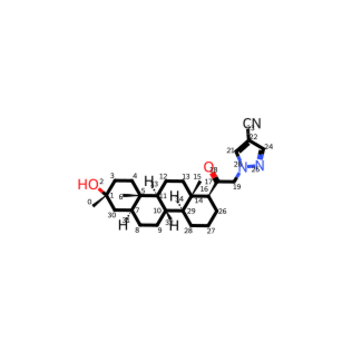 C[C@@]1(O)CC[C@@]2(C)[C@@H](CC[C@@H]3[C@@H]2CC[C@]2(C)[C@@H](C(=O)Cn4cc(C#N)cn4)CCC[C@@H]32)C1